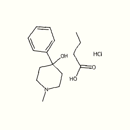 CCCC(=O)O.CN1CCC(O)(c2ccccc2)CC1.Cl